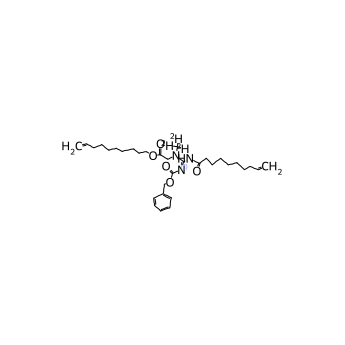 [2H]C([2H])([2H])N(CC(=O)OCCCCCCCCC=C)/C(=N\C(=O)OCc1ccccc1)NC(=O)CCCCCCCC=C